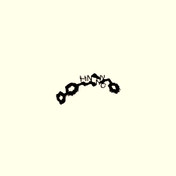 O=c1c(Cc2ccccc2)nc2c[nH]c(C=Cc3ccc(-c4ccccc4)cc3)cn1-2